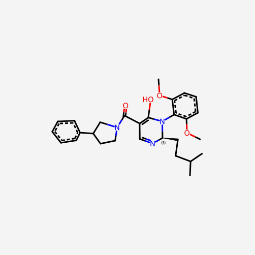 COc1cccc(OC)c1N1C(O)=C(C(=O)N2CCC(c3ccccc3)C2)C=N[C@@H]1CCC(C)C